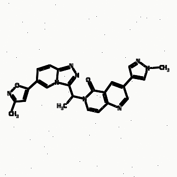 Cc1cc(-c2ccc3nnc(C(C)n4ccc5ncc(-c6cnn(C)c6)cc5c4=O)n3c2)on1